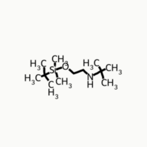 CC(C)(C)NCCO[Si](C)(C)C(C)(C)C